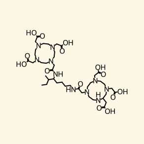 CCC(C)C(CCCCNC(=O)CN1CCNC(CC(=O)O)CN(CC(=O)O)CCN(CC(=O)O)CC1)NC(=O)CN1CCN(CC(=O)O)CCN(CC(=O)O)CCN(CC(=O)O)CC1